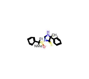 CCC(NC)(c1ccccc1)[S+]([O-])N1CNC(C)(c2ccccc2)C1=S